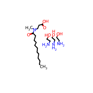 CCCCCCCCCCCC(=O)N(C)CCC(=O)O.NCCO.NCCO.NCCO